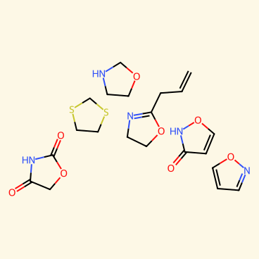 C1COCN1.C1CSCS1.C=CCC1=NCCO1.O=C1COC(=O)N1.O=c1cco[nH]1.c1cnoc1